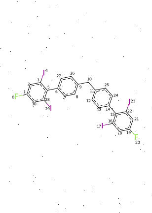 Fc1cc(I)c(-c2ccc(Cc3ccc(-c4c(I)cc(F)cc4I)cc3)cc2)c(I)c1